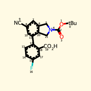 CC(C)(C)OC(=O)N1Cc2cc(C#N)cc(-c3ccc(F)cc3C(=O)O)c2C1